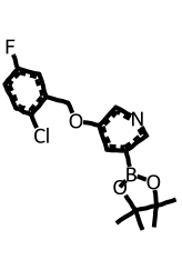 CC1(C)OB(c2cncc(OCc3cc(F)ccc3Cl)c2)OC1(C)C